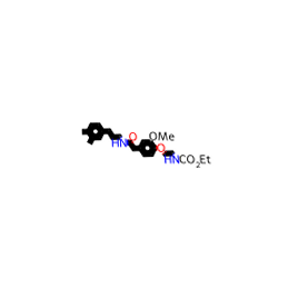 CCOC(=O)NCCOc1ccc(CC(=O)NCCCc2ccc(C)c(C)c2)cc1OC